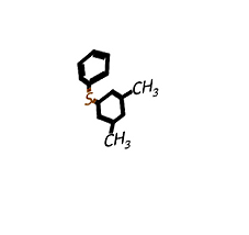 CC1CC(C)CC(Sc2ccccc2)C1